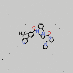 Cc1cc(C(=O)N2Cc3ccc(C(=O)N4CCC[C@H]4CN4CCCC4)n3Cc3ccccc32)ccc1-c1ccncc1